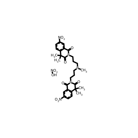 CN(CCCN1C(=O)c2cc([N+](=O)[O-])ccc2C(C)(C)C1=O)CCCN1C(=O)c2cc([N+](=O)[O-])ccc2C(C)(C)C1=O.O=[N+]([O-])O